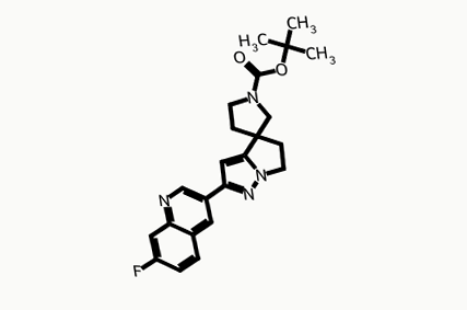 CC(C)(C)OC(=O)N1CCC2(CCn3nc(-c4cnc5cc(F)ccc5c4)cc32)C1